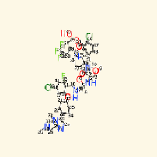 COC[C@H](NC(=O)[C@H](C)NCc1c(F)cc(Cl)cc1Oc1ccc(-c2cnc(CN(C)C)n2C)cc1)C(=O)N(C)[C@@]1(Cc2ccc(Cl)cc2)CCCN(C(=O)[C@@H](CC(=O)O)CC(F)(F)F)C1